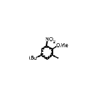 COc1c(C)cc(C(C)(C)C)cc1[N+](=O)[O-]